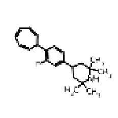 CC1(C)CC(c2ccc(C3C=CC=CC=C3)c(F)c2)CC(C)(C)N1